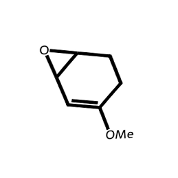 COC1=CC2OC2CC1